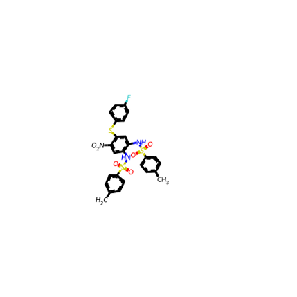 Cc1ccc(S(=O)(=O)Nc2cc(Sc3ccc(F)cc3)c([N+](=O)[O-])cc2NS(=O)(=O)c2ccc(C)cc2)cc1